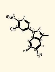 Cc1nn(-c2cnc(OCC(C)C)c(Cl)c2)c2cc(F)c(C#N)cc12